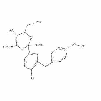 CCCOc1ccc(Cc2cc(C3(OC)CC(O)[C@H](O)C(CO)O3)ccc2Cl)cc1